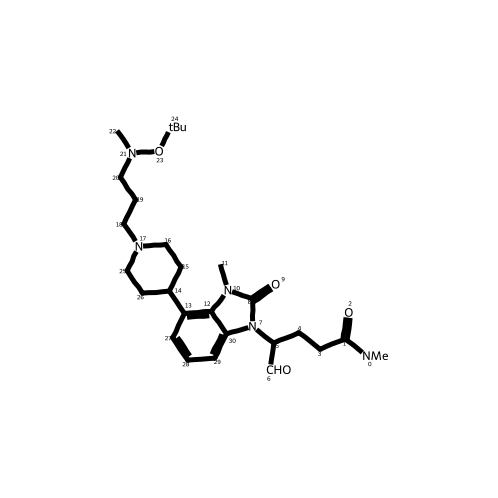 CNC(=O)CCC(C=O)n1c(=O)n(C)c2c(C3CCN(CCCN(C)OC(C)(C)C)CC3)cccc21